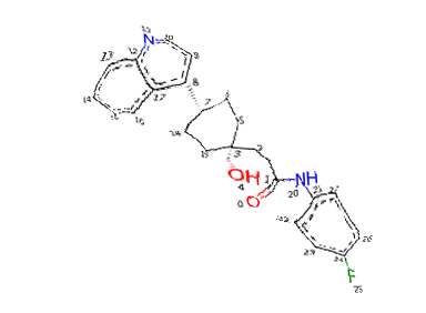 O=C(C[C@]1(O)CC[C@@H](c2ccnc3ccccc32)CC1)Nc1ccc(F)cc1